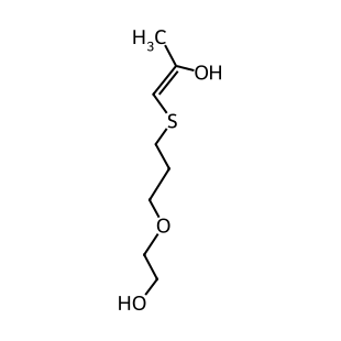 CC(O)=CSCCCOCCO